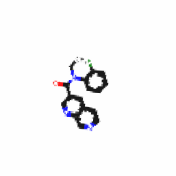 O=C(c1cnc2cnccc2c1)N(CC(F)(F)F)c1ccccc1F